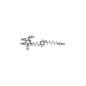 CCCCCCCCCCCCCCCCOc1ccc(CCCCO[C@@H]2O[C@H](CO)[C@@H](O)[C@H](O)[C@H]2O)cc1